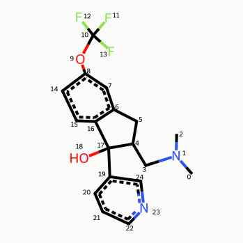 CN(C)CC1Cc2cc(OC(F)(F)F)ccc2C1(O)c1cccnc1